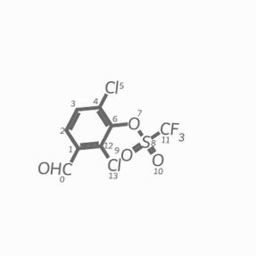 O=Cc1ccc(Cl)c(OS(=O)(=O)C(F)(F)F)c1Cl